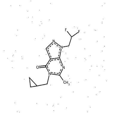 Cc1nc2c(cnn2CC(F)F)c(=O)n1CC1CC1